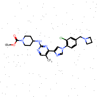 CC(C)(C)OC(=O)N1CCC(Nc2ncc(C(F)(F)F)c(-c3cn(-c4ccc(CN5CCC5)cc4Cl)cn3)n2)CC1